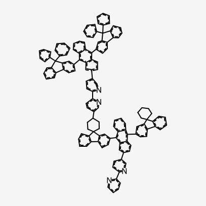 c1ccc(C2(c3ccccc3)c3ccccc3-c3ccc(-c4c5ccccc5c(-c5ccc6c(c5)C(c5ccccc5)(c5ccccc5)c5ccccc5-6)c5cc(-c6ccc(-c7ccc(C8CCC9(CC8)c8ccccc8-c8ccc(-c%10c%11ccccc%11c(-c%11ccc%12c(c%11)C%11(CCCCC%11)c%11ccccc%11-%12)c%11ccc(-c%12ccc(-c%13ccccn%13)nc%12)cc%10%11)cc89)cn7)nc6)ccc45)cc32)cc1